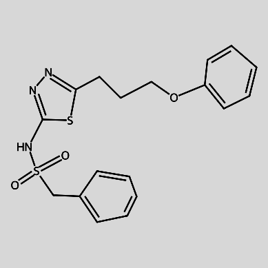 O=S(=O)(Cc1ccccc1)Nc1nnc(CCCOc2ccccc2)s1